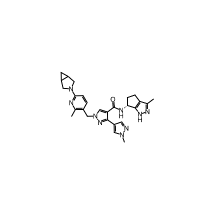 Cc1nc(N2CC3CC3C2)ccc1Cn1cc(C(=O)N[C@@H]2CCc3c(C)n[nH]c32)c(-c2cnn(C)c2)n1